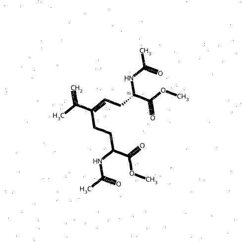 C=C(C)C(=CC[C@H](NC(C)=O)C(=O)OC)CCC(NC(C)=O)C(=O)OC